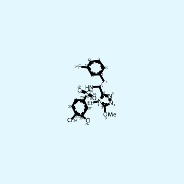 CCn1c(OC)nnc1[C@@H](Cc1cccc(F)c1)NS(=O)(=O)c1ccc(Cl)c(Cl)c1